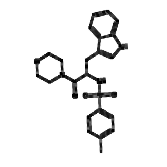 Cc1ccc(S(=O)(=O)NC(Cc2c[nH]c3ccccc23)C(=O)N2CCOCC2)cc1